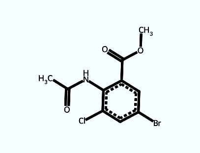 COC(=O)c1cc(Br)cc(Cl)c1NC(C)=O